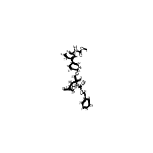 COC(=O)Nc1cc(-c2ccc(OCC(C)(CC(C)C)NC(=O)OCc3ccccc3)nc2)ccn1